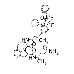 C/C(=C\C(=O)NC1CCc2cccc3c2N(C1=O)C(C(=O)NC(C)CCC(N)=O)C3)c1ccc(C(F)(F)P(=O)(Oc2ccccc2)Oc2ccccc2)cc1